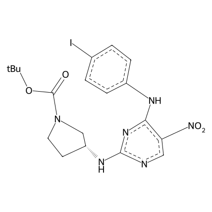 CC(C)(C)OC(=O)N1CC[C@@H](Nc2ncc([N+](=O)[O-])c(Nc3ccc(I)cc3)n2)C1